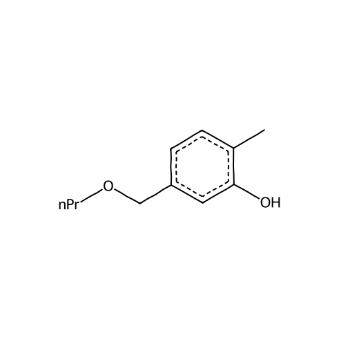 CCCOCc1ccc(C)c(O)c1